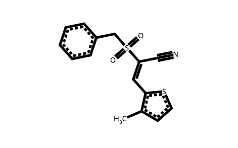 Cc1ccsc1C=C(C#N)S(=O)(=O)Cc1ccccc1